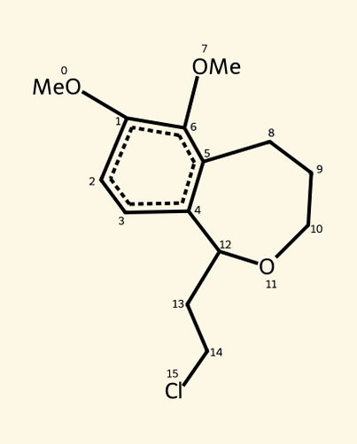 COc1ccc2c(c1OC)CCCOC2CCCl